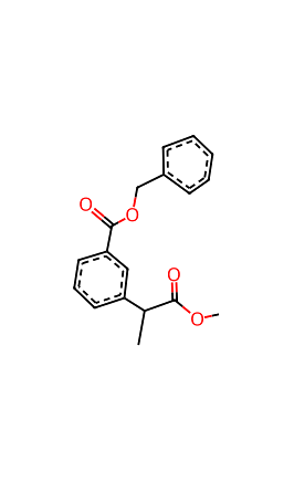 COC(=O)C(C)c1cccc(C(=O)OCc2ccccc2)c1